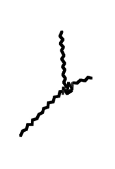 CCCCCCCCCCCCCCCCN1C=CN(CCCCCC)C1CCCCCCCCCCCCCC